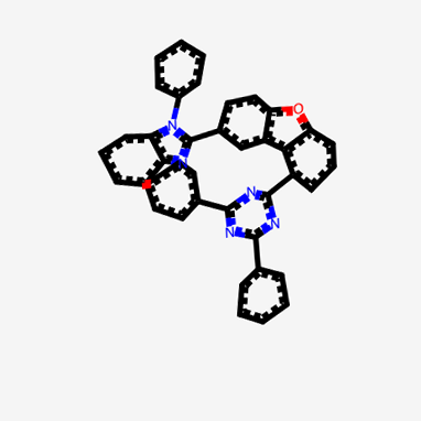 c1ccc(-c2nc(-c3ccccc3)nc(-c3cccc4oc5ccc(-c6nc7ccccc7n6-c6ccccc6)cc5c34)n2)cc1